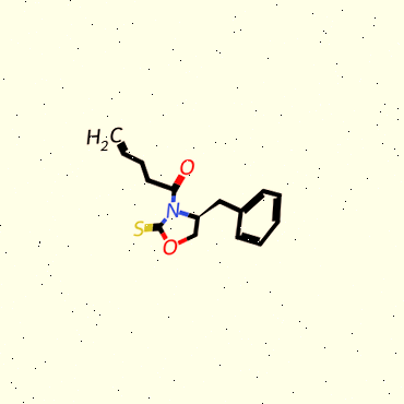 C=CCCC(=O)N1C(=S)OC[C@@H]1Cc1ccccc1